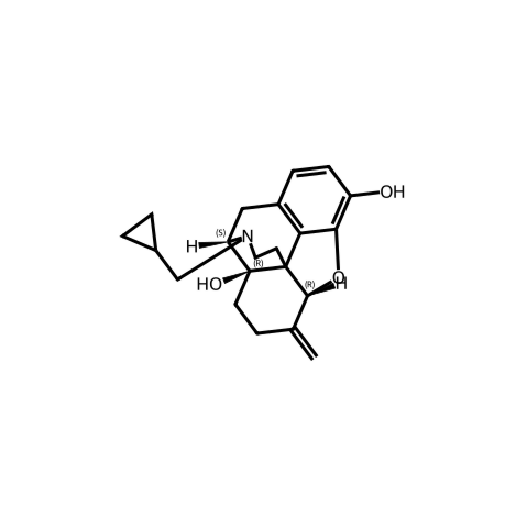 C=C1CC[C@]2(O)[C@@H]3Cc4ccc(O)c5c4C2(CCN3CC2CC2)[C@@H]1O5